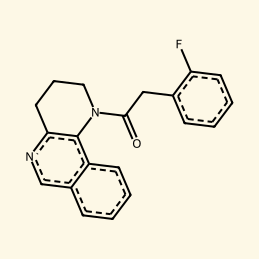 O=C(Cc1ccccc1F)N1CCCc2ncc3ccccc3c21